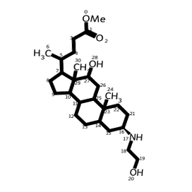 COC(=O)CCC(C)C1CCC2C3CCC4C[C@H](NCCO)CCC4(C)C3CC(O)C12C